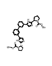 CC(C)(C)OC(=O)N1CCCC1c1ncc(-c2cccc(-c3cccc(-c4cnc([C@@H]5CCCN5C(=O)OC(C)(C)C)[nH]4)c3)c2)[nH]1